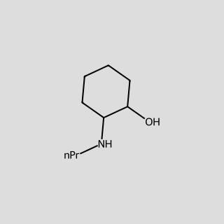 CCCNC1CCCCC1O